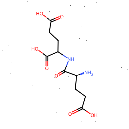 N[C@@H](CCC(=O)O)C(=O)NC(CCC(=O)O)C(=O)O